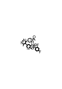 CC(=O)N1CCN(c2ncnc(C)c2-c2cnc(C)c(NS(=O)(=O)c3ccc(F)cc3F)c2)CC1